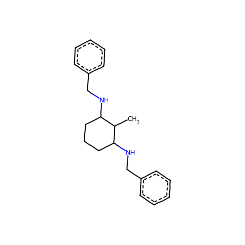 CC1C(NCc2ccccc2)CCCC1NCc1ccccc1